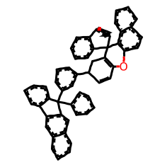 C1=CC(c2cccc(C3(c4ccccc4)c4ccccc4-c4cc5ccccc5cc43)c2)CC2=C1Oc1ccc3ccccc3c1C21c2ccccc2-c2ccccc21